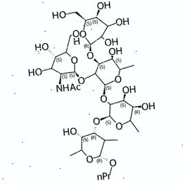 CCCO[C@@H]1OC(C)[C@H](O)[C@H](O[C@@H]2OC(C)[C@H](O)[C@H](O)C2O[C@@H]2OC(C)[C@H](O)[C@H](O[C@H]3O[C@@H](CO)[C@@H](O)C(O)C3O)C2O[C@@H]2OC(CO)[C@@H](O)C(O)[C@@H]2NC(C)=O)C1C